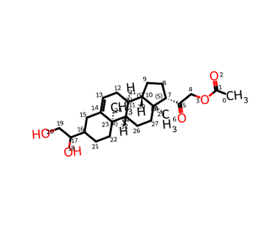 CC(=O)OCC(=O)[C@H]1CC[C@H]2[C@@H]3CC=C4CC(C(O)CO)CC[C@]4(C)[C@H]3CC[C@]12C